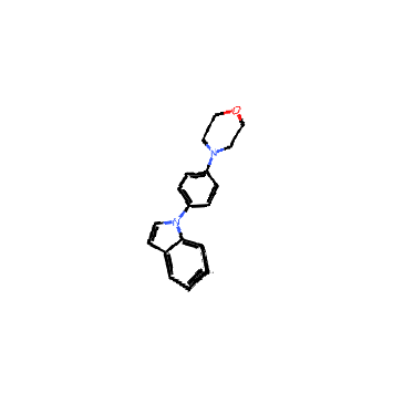 [c]1ccc2ccn(-c3ccc(N4CCOCC4)cc3)c2c1